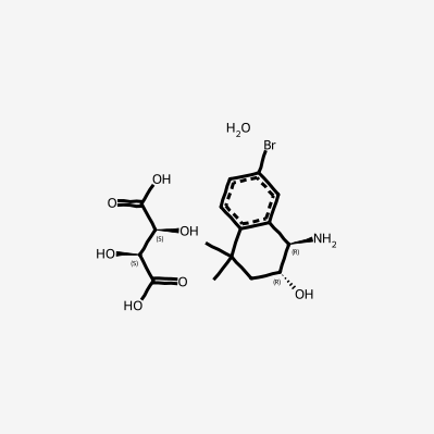 CC1(C)C[C@@H](O)[C@H](N)c2cc(Br)ccc21.O.O=C(O)[C@@H](O)[C@H](O)C(=O)O